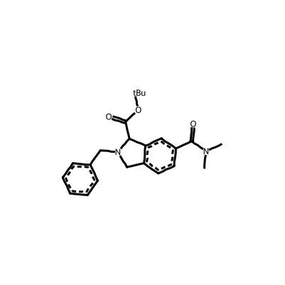 CN(C)C(=O)c1ccc2c(c1)C(C(=O)OC(C)(C)C)N(Cc1ccccc1)C2